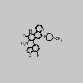 Nc1c(-c2ccc(F)c3[nH]ncc23)c2cc(N3CCC(C(F)(F)F)CC3)c3ncccc3c2[nH]c1=O